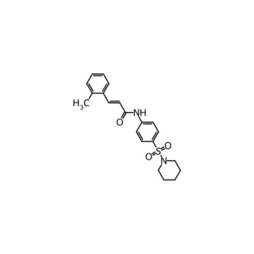 Cc1ccccc1/C=C/C(=O)Nc1ccc(S(=O)(=O)N2CCCCC2)cc1